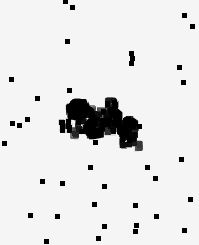 CC1CN(c2cc(=O)[nH]c(N3CC[C@H](C)[C@H]3Cc3ccccc3)n2)CCO1